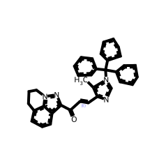 Cc1c(/C=C/C(=O)c2nn3c4c(cccc24)CCC3)ncn1C(c1ccccc1)(c1ccccc1)c1ccccc1